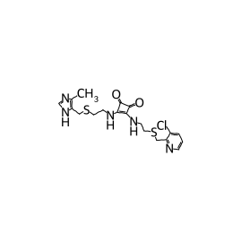 Cc1nc[nH]c1CSCCNc1c(NCCSCc2ncccc2Cl)c(=O)c1=O